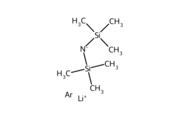 C[Si](C)(C)[N-][Si](C)(C)C.[Ar].[Li+]